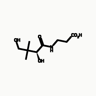 CC(C)(CO)[C@@H](O)C(=O)NCC[14C](=O)O